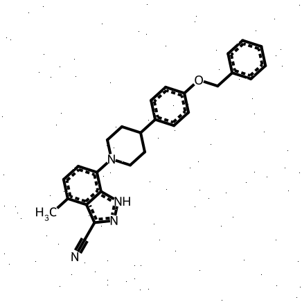 Cc1ccc(N2CCC(c3ccc(OCc4ccccc4)cc3)CC2)c2[nH]nc(C#N)c12